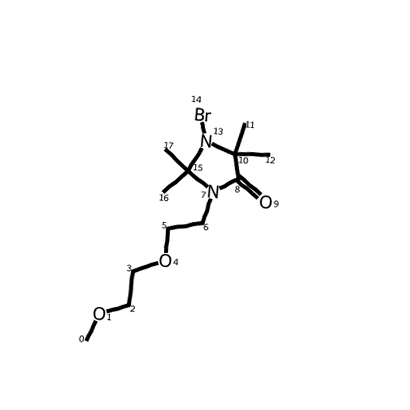 COCCOCCN1C(=O)C(C)(C)N(Br)C1(C)C